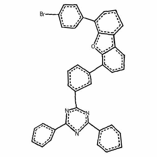 Brc1ccc(-c2cccc3c2oc2c(-c4cccc(-c5nc(-c6ccccc6)nc(-c6ccccc6)n5)c4)cccc23)cc1